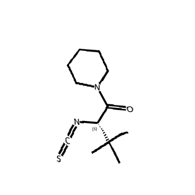 CC(C)(C)[C@H](N=C=S)C(=O)N1CCCCC1